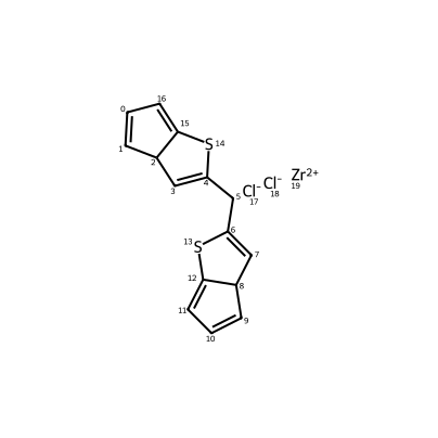 C1=CC2C=C(CC3=CC4C=CC=C4S3)SC2=C1.[Cl-].[Cl-].[Zr+2]